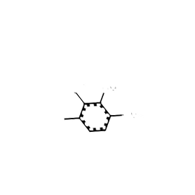 COc1ccc(C)c(I)c1OC.S